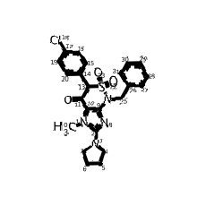 Cn1c(N2CCCC2)nc2c1C(=O)C(c1ccc(Cl)cc1)S(=O)(=O)N2Cc1ccccc1